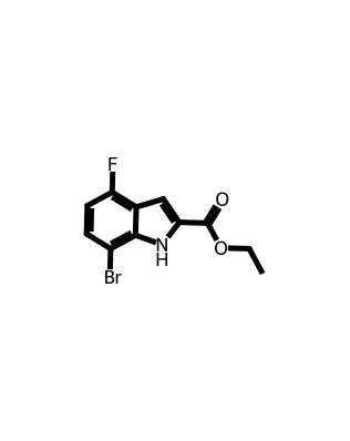 CCOC(=O)c1cc2c(F)ccc(Br)c2[nH]1